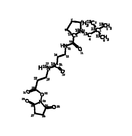 [13CH3][13C]([13CH3])([13CH3])[13CH2][15N]1CCC[13CH]1C(=O)NCC[13C](=O)[15NH]CCC(=O)ON1C(=O)CCC1=O